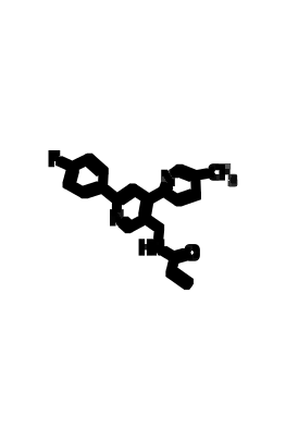 C=CC(=O)NCc1cnc(-c2ccc(F)cc2)cc1-c1ccc(C(F)(F)F)cn1